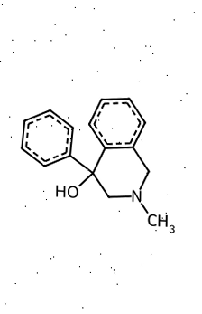 CN1Cc2ccccc2C(O)(c2ccccc2)C1